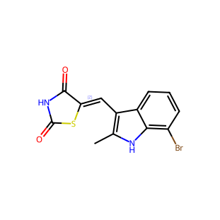 Cc1[nH]c2c(Br)cccc2c1/C=C1\SC(=O)NC1=O